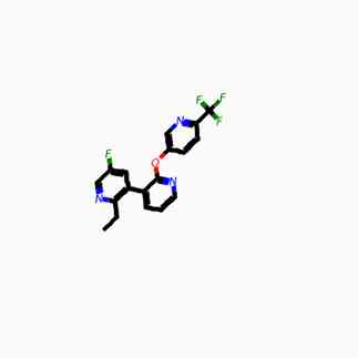 CCc1ncc(F)cc1-c1cccnc1Oc1ccc(C(F)(F)F)nc1